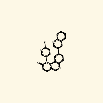 O=c1ccc2cnc3ccc(-c4cnc5ccccc5c4)cc3c2n1-c1ccc(F)nc1